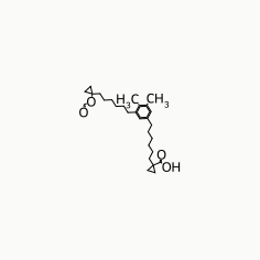 Cc1cc(CCCCCCC2(C(=O)O)CC2)cc(CCCCCCC2(OC=O)CC2)c1C